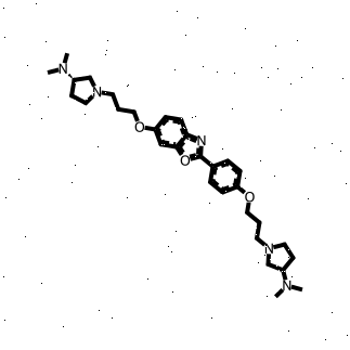 CN(C)C1CCN(CCCOc2ccc(-c3nc4ccc(OCCCN5CC[C@H](N(C)C)C5)cc4o3)cc2)C1